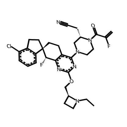 C=C(F)C(=O)N1CCN(c2nc(OC[C@@H]3CCN3CC)nc3c2CC[C@@]2(CCc4c(Cl)cccc42)[C@H]3F)C[C@@H]1CC#N